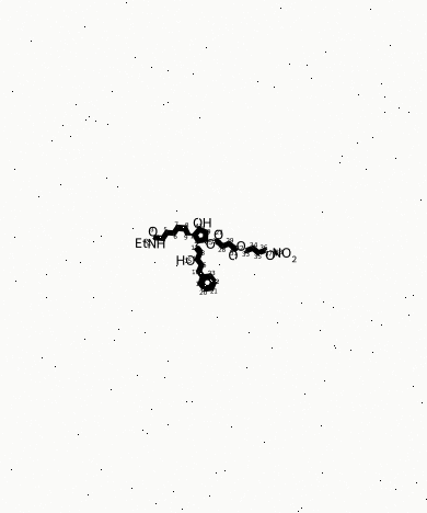 CCNC(=O)CCC/C=C\C[C@@H]1[C@@H](/C=C/[C@@H](O)CCc2ccccc2)[C@H](OC(=O)CCC(=O)OCCCCO[N+](=O)[O-])C[C@@H]1O